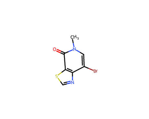 Cn1cc(Br)c2ncsc2c1=O